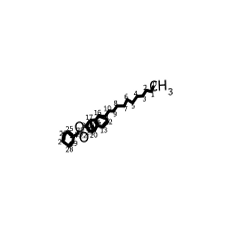 CCCCCCCCCCCc1ccc2c(c1)C1C=CC2C2OC(c3ccccc3)OC12